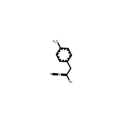 CC(=O)C(Cc1ccc(C)cc1)=[N+]=[N-]